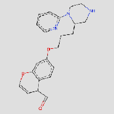 O=CC1C=COc2cc(OCCCC3CNCCN3c3ccccn3)ccc21